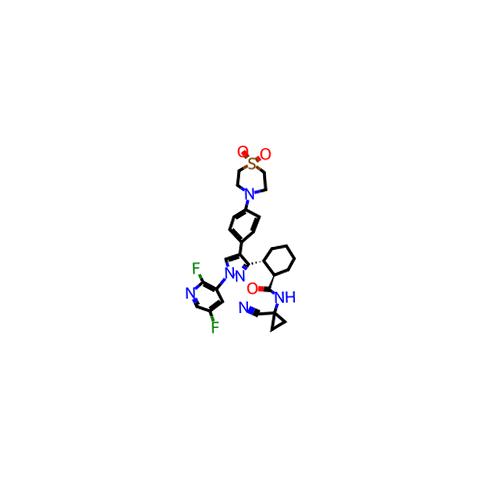 N#CC1(NC(=O)[C@@H]2CCCC[C@H]2c2nn(-c3cc(F)cnc3F)cc2-c2ccc(N3CCS(=O)(=O)CC3)cc2)CC1